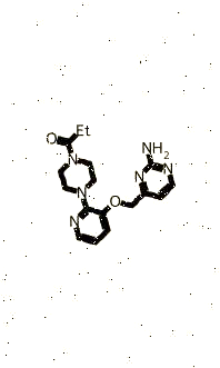 CCC(=O)N1CCN(c2ncccc2OCc2ccnc(N)n2)CC1